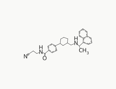 CC(NCC1CCCC(c2ccc(C(=O)NCCC#N)cc2)C1)c1cccc2ccccc12